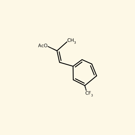 CC(=O)O/C(C)=C/c1cccc(C(F)(F)F)c1